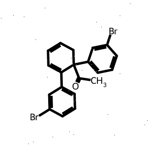 CC(=O)C1(c2cccc(Br)c2)CC=CC=C1c1cccc(Br)c1